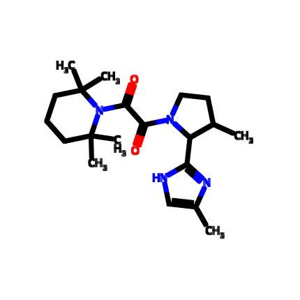 Cc1c[nH]c(C2C(C)CCN2C(=O)C(=O)N2C(C)(C)CCCC2(C)C)n1